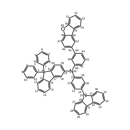 c1ccc(C2(c3ccccc3)c3ccccc3-c3cc(N(c4ccc(-n5c6ccccc6c6ccccc65)cc4)c4cccc(-c5ccc6oc7ccccc7c6c5)c4)ccc32)cc1